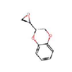 c1ccc2c(c1)OC[C@@H]([C@H]1CO1)O2